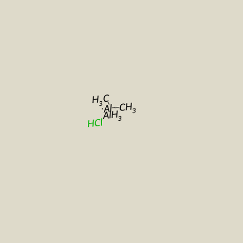 Cl.[AlH3].[CH3][Al][CH3]